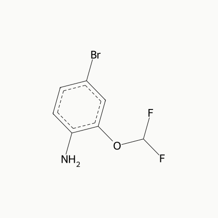 Nc1ccc(Br)cc1OC(F)F